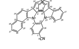 N#Cc1ccc(-n2c3ccccc3c3ccc4ccccc4c32)c(-n2c3ccccc3c3ccccc32)c1